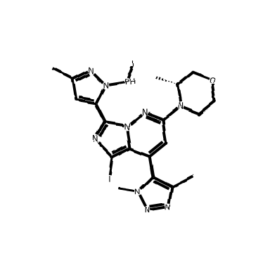 Cc1cc(-c2nc(I)c3c(-c4c(C)nnn4C)cc(N4CCOC[C@H]4C)nn23)n(PI)n1